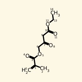 C=C(C)C(=O)OCC(=O)CC(=O)OCC